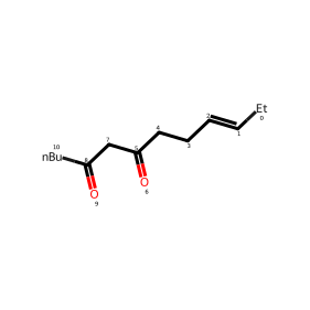 CC/C=C/CCC(=O)CC(=O)CCCC